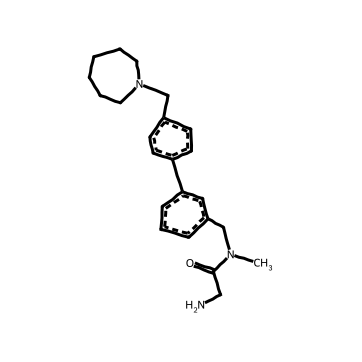 CN(Cc1cccc(-c2ccc(CN3CCCCCC3)cc2)c1)C(=O)CN